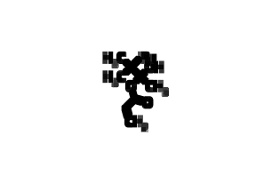 C=CC(=O)OC(C)(O)C(C)(C)C(C)CC